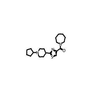 O=C(c1csc(C2CCN(C3CCCC3)CC2)n1)N1CCCCCC1